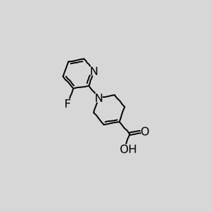 O=C(O)C1=CCN(c2ncccc2F)CC1